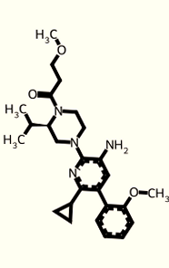 COCCC(=O)N1CCN(c2nc(C3CC3)c(-c3ccccc3OC)cc2N)C[C@H]1C(C)C